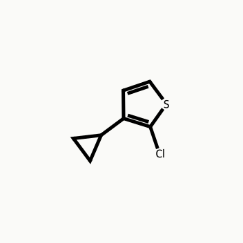 Clc1sccc1C1CC1